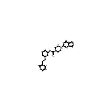 O=C(Cc1cccc(CCc2ccccc2)c1)N1CCN(c2ccc3nncn3n2)CC1